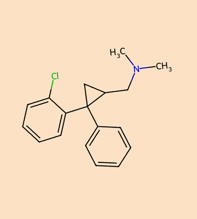 CN(C)CC1CC1(c1ccccc1)c1ccccc1Cl